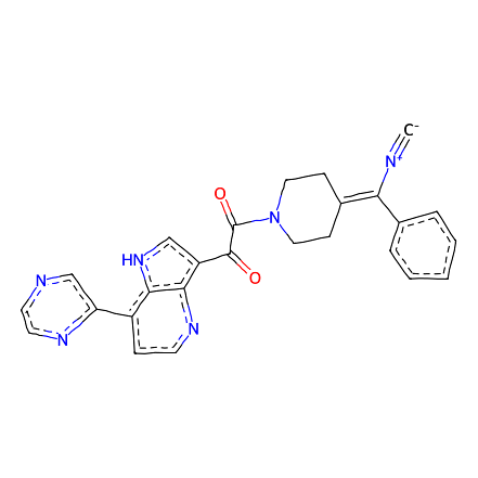 [C-]#[N+]C(=C1CCN(C(=O)C(=O)c2c[nH]c3c(-c4cnccn4)ccnc23)CC1)c1ccccc1